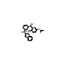 CC(C)Oc1ccc(N)c(C(=N)c2ccnc(NC3Cc4ccccc4C3)c2)c1